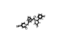 N#Cc1ccn(CC2CC(C(=O)N3CC(F)CC3c3cccc(F)c3)C3CC2C3)c(=O)c1